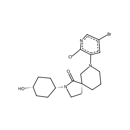 O=C1N([C@H]2CC[C@@H](O)CC2)CC[C@]12CCCN(c1cc(Br)cnc1Cl)C2